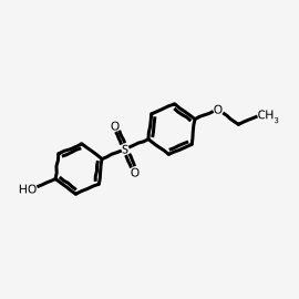 CCOc1ccc(S(=O)(=O)c2ccc(O)cc2)cc1